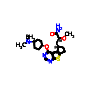 BN(C)[C@H]1CC[C@H](Oc2ncnc3sc4c(c23)[C@@H](C[C@H](OC)C(N)=O)CC4)CC1